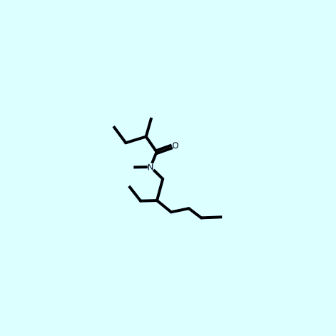 CCCCC(CC)CN(C)C(=O)C(C)CC